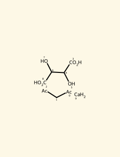 CC(=O)CC(C)=O.O=C(O)C(O)C(O)C(=O)O.[CaH2]